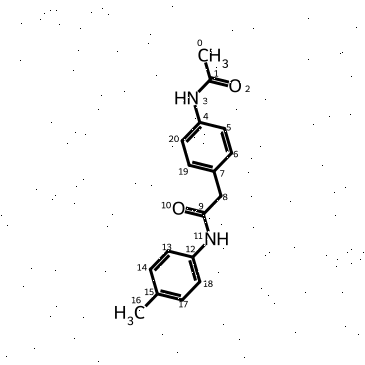 CC(=O)Nc1ccc(CC(=O)Nc2ccc(C)cc2)cc1